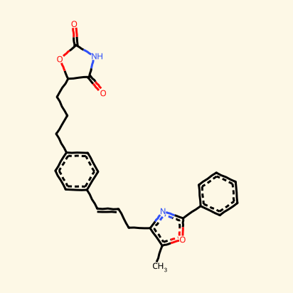 Cc1oc(-c2ccccc2)nc1CC=Cc1ccc(CCCC2OC(=O)NC2=O)cc1